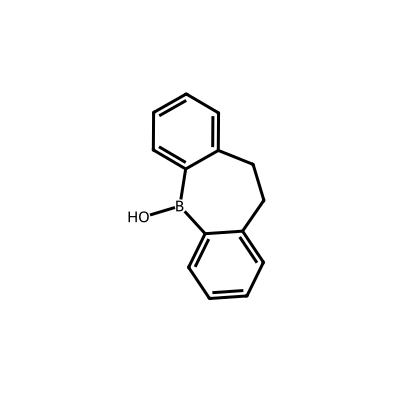 OB1c2ccccc2CCc2ccccc21